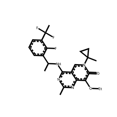 CCOc1c(=O)n(C2(C)CC2)cc2c(NC(C)c3cccc(C(C)(F)F)c3F)nc(C)nc12